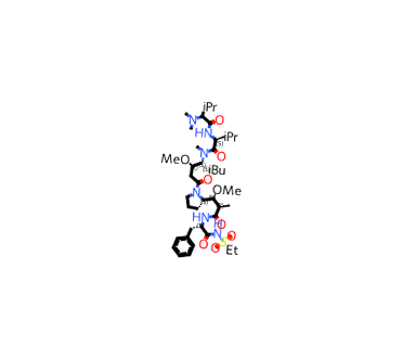 CC[C@H](C)[C@@H]([C@@H](CC(=O)N1CCC[C@H]1[C@H](OC)[C@@H](C)C(=O)N[C@@H](Cc1ccccc1)C(=O)NS(=O)(=O)CC)OC)N(C)C(=O)[C@@H](NC(=O)C(C(C)C)N(C)C)C(C)C